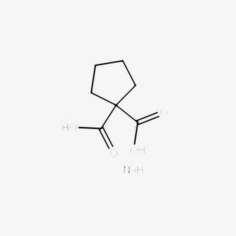 O=C(O)C1(C(=O)O)CCCC1.[NaH]